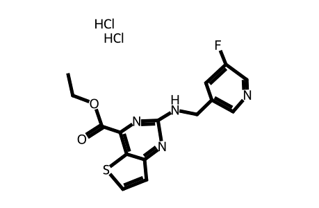 CCOC(=O)c1nc(NCc2cncc(F)c2)nc2ccsc12.Cl.Cl